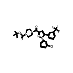 CC(C)(C)OC(=O)N1CCN(C(=O)c2cc(-c3cccc(C(F)(F)F)c3)n(-c3cccc(Cl)c3)n2)CC1